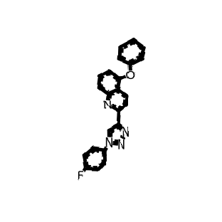 Fc1ccc(-n2cc(-c3ccc4c(Oc5ccccc5)cccc4n3)nn2)cc1